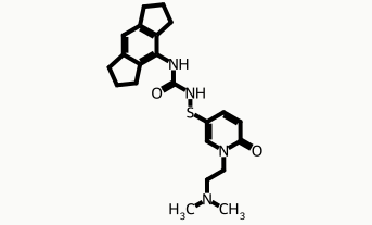 CN(C)CCn1cc(SNC(=O)Nc2c3c(cc4c2CCC4)CCC3)ccc1=O